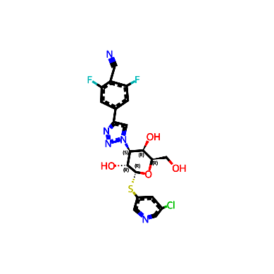 N#Cc1c(F)cc(-c2cn([C@@H]3[C@@H](O)[C@@H](Sc4cncc(Cl)c4)O[C@H](CO)[C@@H]3O)nn2)cc1F